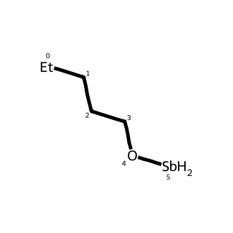 CCCCC[O][SbH2]